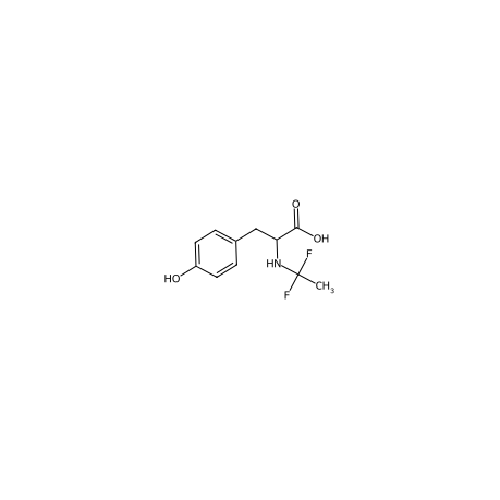 CC(F)(F)NC(Cc1ccc(O)cc1)C(=O)O